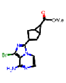 COC(=O)C1C2CC(c3nc(Br)c4c(N)nccn34)CC21